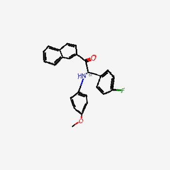 COc1ccc(N[C@H](C(=O)c2ccc3ccccc3c2)c2ccc(F)cc2)cc1